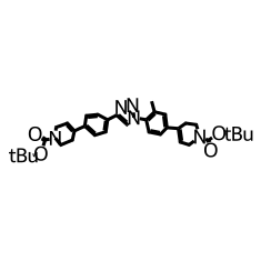 Cc1cc(C2=CCN(C(=O)OC(C)(C)C)CC2)ccc1-n1cc(-c2ccc(C3=CCN(C(=O)OC(C)(C)C)CC3)cc2)nn1